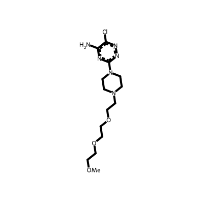 COCCOCCOCCN1CCN(c2nnc(Cl)c(N)n2)CC1